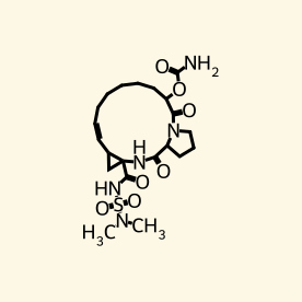 CN(C)S(=O)(=O)NC(=O)C12CC1C=CCCCCCC(OC(N)=O)C(=O)N1CCCC1C(=O)N2